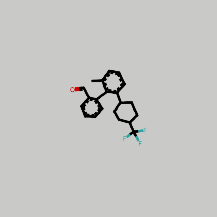 Cc1cccc(C2CCC(C(F)(F)F)CC2)c1-c1ccccc1C=O